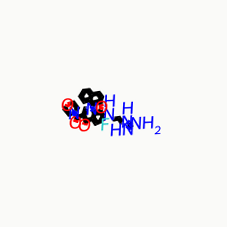 N=C(N)NCCCNc1c(F)cc2c(=O)c(C(=O)N3CCOCC3)cn3c2c1Oc1ccc2ccccc2c1-3